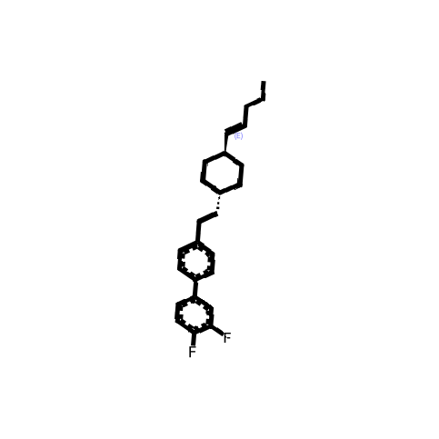 CCC/C=C/[C@H]1CC[C@H](CCc2ccc(-c3ccc(F)c(F)c3)cc2)CC1